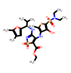 CCOC(=O)C1=C(Nc2c(C)sc(S(=O)(=O)N(CC)CC)c2O)C(N[C@@H](c2cc(C)c(C)o2)C(C)C)=NS1(=O)=O